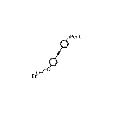 CCCCCc1ccc(C#Cc2ccc(OCCOCC)cc2)cc1